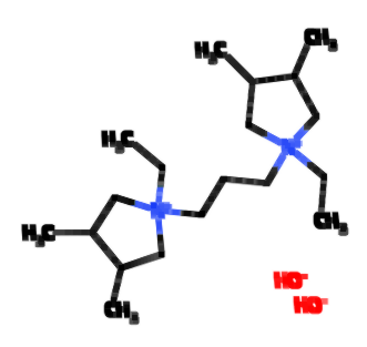 CC[N+]1(CCC[N+]2(CC)CC(C)C(C)C2)CC(C)C(C)C1.[OH-].[OH-]